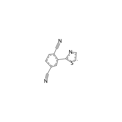 N#Cc1ccc(C#N)c(-c2nc[c]s2)c1